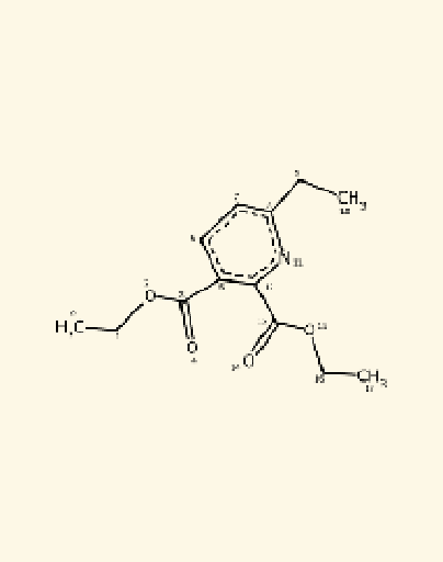 CCOC(=O)c1ccc(CC)nc1C(=O)OCC